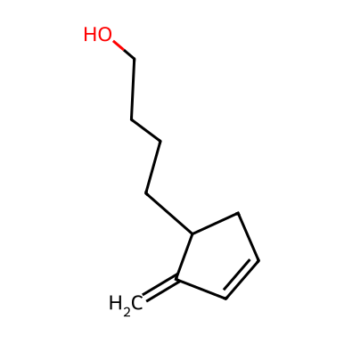 C=C1C=CCC1CCCCO